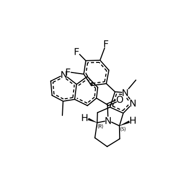 Cc1ccnc2ccc(C(=O)N3[C@@H]4CCC[C@H]3c3nn(C)c(-c5cc(F)c(F)c(F)c5)c3C4)cc12